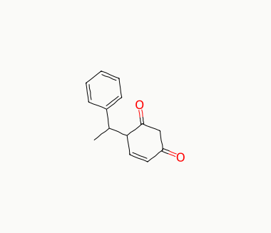 CC(c1ccccc1)C1C=CC(=O)CC1=O